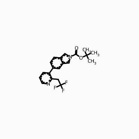 CC(C)(C)OC(=O)n1cc2ccc(-c3cccnc3CC(F)(F)F)cc2c1